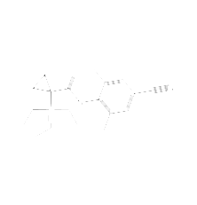 CC[PH](CC)(CC)C1(C(=O)Nc2c(C)cc(C#N)cc2C)CC1